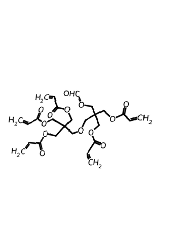 C=CC(=O)OCC(COC=O)(COCC(COC(=O)C=C)(COC(=O)C=C)COC(=O)C=C)COC(=O)C=C